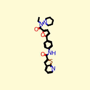 CCN(C(=O)c1ccc(-c2ccc(NC(=O)c3cc4cccnc4s3)cc2)o1)N1CCCCC1